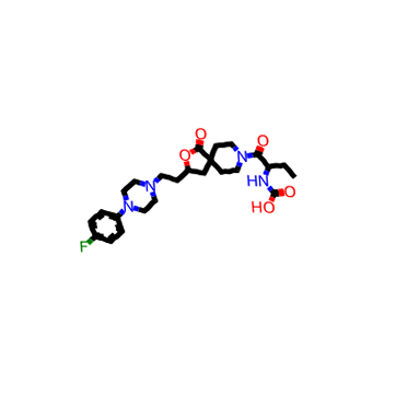 CCC(NC(=O)O)C(=O)N1CCC2(CC1)CC(CCN1CCN(c3ccc(F)cc3)CC1)OC2=O